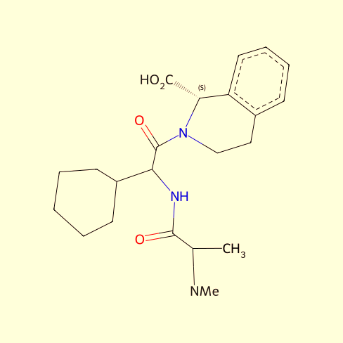 CNC(C)C(=O)NC(C(=O)N1CCc2ccccc2[C@H]1C(=O)O)C1CCCCC1